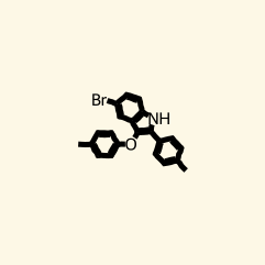 Cc1ccc(Oc2c(-c3ccc(C)cc3)[nH]c3ccc(Br)cc23)cc1